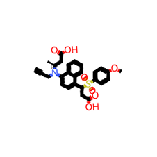 C#CCN(c1ccc(C(CC(=O)O)S(=O)(=O)c2ccc(OC)cc2)c2ccccc12)[C@@H](C)CC(=O)O